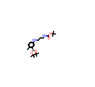 Cc1ccc(NCCCNC(=O)OC(C)(C)C)cc1B1OC(C)(C)C(C)(C)O1